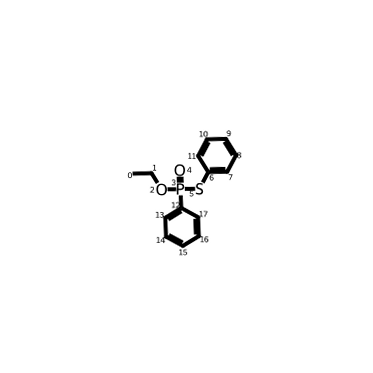 CCOP(=O)(Sc1ccccc1)c1ccccc1